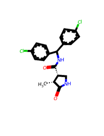 C[C@H]1C(=O)NC[C@H]1C(=O)NC(c1ccc(Cl)cc1)c1ccc(Cl)cc1